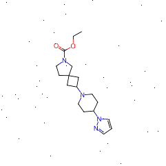 CCOC(=O)N1CCC2(CC(N3CCC(n4cccn4)CC3)C2)C1